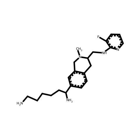 CN1Cc2cc(C(N)CCCCCN)ccc2CC1CNc1ncccc1F